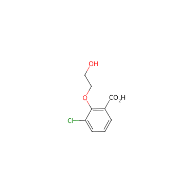 O=C(O)c1cccc(Cl)c1OCCO